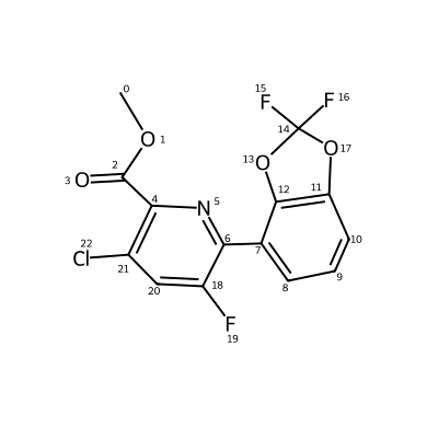 COC(=O)c1nc(-c2cccc3c2OC(F)(F)O3)c(F)cc1Cl